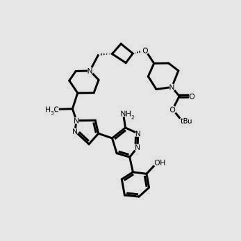 CC(C1CCN(C[C@H]2C[C@@H](OC3CCN(C(=O)OC(C)(C)C)CC3)C2)CC1)n1cc(-c2cc(-c3ccccc3O)nnc2N)cn1